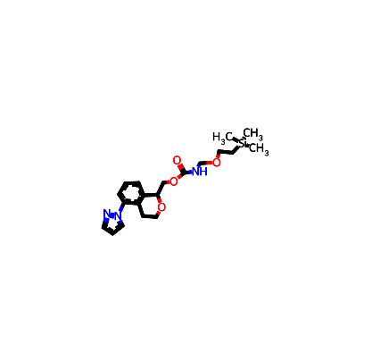 C[Si](C)(C)CCOCNC(=O)OCC1OCCc2c1cccc2-n1cccn1